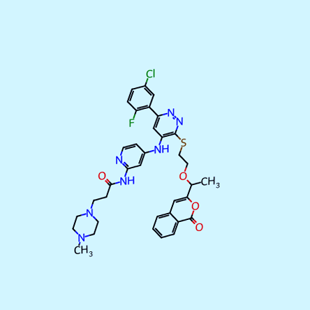 CC(OCCSc1nnc(-c2cc(Cl)ccc2F)cc1Nc1ccnc(NC(=O)CCN2CCN(C)CC2)c1)c1cc2ccccc2c(=O)o1